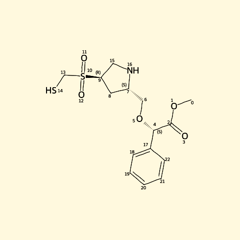 COC(=O)[C@@H](OC[C@@H]1C[C@@H](S(=O)(=O)CS)CN1)c1ccccc1